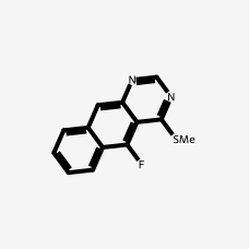 CSc1ncnc2cc3ccccc3c(F)c12